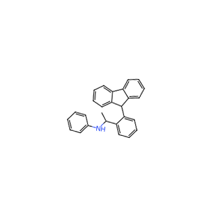 CC(Nc1ccccc1)c1ccccc1C1c2ccccc2-c2ccccc21